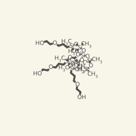 C[SiH2]O[Si](C)(C)O[Si](OCO[Si](C)(C)CCCOCCO)(O[Si](C)(C)O[Si](C)(C)CCCOCCO)O[Si](C)(C)O[Si](C)(C)CCCOCCO